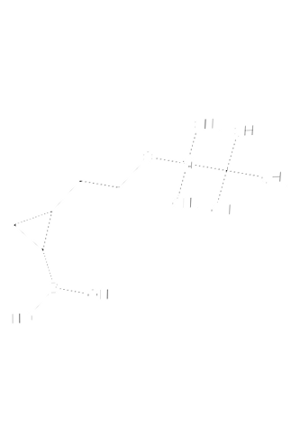 CC(C)(C)[Si](C)(C)OCCC1CC1B(O)O